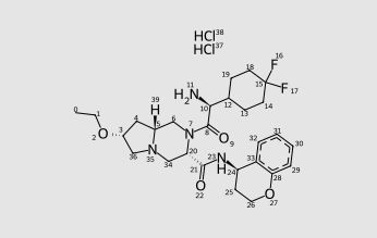 CCO[C@@H]1C[C@@H]2CN(C(=O)[C@@H](N)C3CCC(F)(F)CC3)[C@H](C(=O)N[C@@H]3CCOc4ccccc43)CN2C1.Cl.Cl